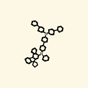 c1ccc(-c2ccc(N(c3ccc(-c4ccccc4)cc3)c3ccc(-c4ccc(N(c5ccccc5)c5cc6c(c7ccccc57)-c5ccccc5C65CCCC5)cc4)cc3)cc2)cc1